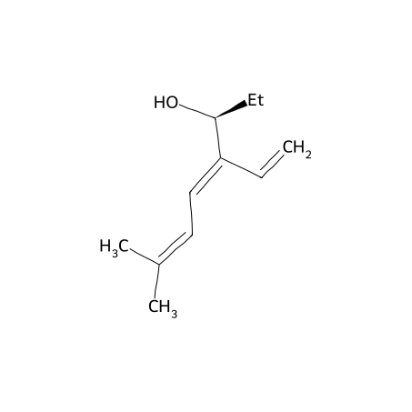 C=C/C(=C\C=C(C)C)[C@@H](O)CC